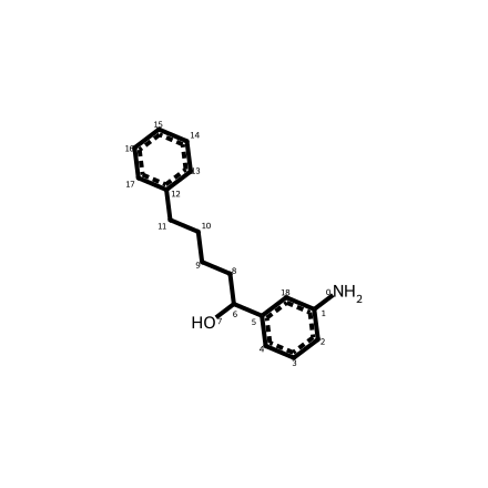 Nc1cccc(C(O)CCCCc2ccccc2)c1